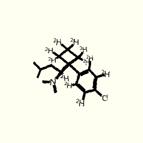 [2H]c1c([2H])c(C2(C([2H])(CC(C)C)N(C)C)C([2H])([2H])C([2H])([2H])C2([2H])[2H])c([2H])c([2H])c1Cl